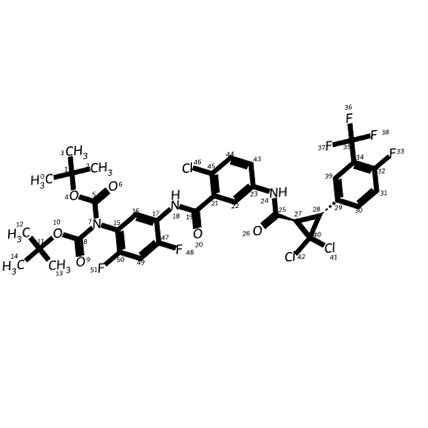 CC(C)(C)OC(=O)N(C(=O)OC(C)(C)C)c1cc(NC(=O)c2cc(NC(=O)[C@H]3[C@H](c4ccc(F)c(C(F)(F)F)c4)C3(Cl)Cl)ccc2Cl)c(F)cc1F